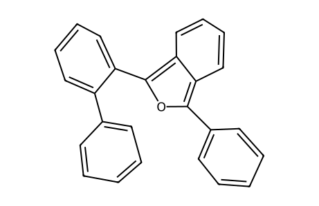 c1ccc(-c2ccccc2-c2oc(-c3ccccc3)c3ccccc23)cc1